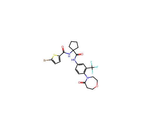 O=C(NC1(C(=O)Nc2ccc(N3CCOCCC3=O)c(C(F)(F)F)c2)CCCC1)c1ccc(Br)s1